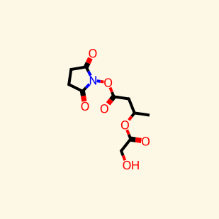 CC(CC(=O)ON1C(=O)CCC1=O)OC(=O)CO